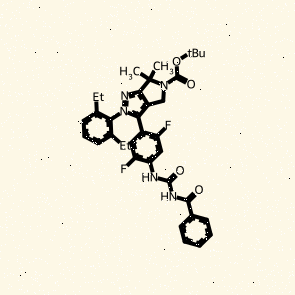 CCc1cccc(CC)c1-n1nc2c(c1-c1cc(F)c(NC(=O)NC(=O)c3ccccc3)cc1F)CN(C(=O)OC(C)(C)C)C2(C)C